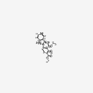 CCOC(=O)c1ccc(-c2nc3cnccc3[nH]2)c(C(=O)OCC)c1OC